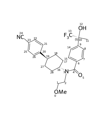 COCCN(C(=O)c1ccc([C@](C)(O)C(F)(F)F)cc1)[C@H]1CC[C@H](c2ccc(C#N)cc2)CC1